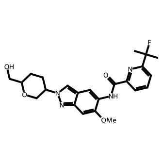 COc1cc2nn(C3CCC(CO)OC3)cc2cc1NC(=O)c1cccc(C(C)(C)F)n1